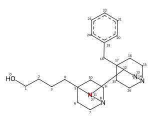 OCCCCC12CCN(CC1)N(C1[N]N3CCC1(Cc1ccccc1)CC3)C2